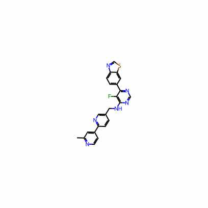 Cc1cc(-c2ccc(CNc3ncnc(-c4ccc5ncsc5c4)c3F)cn2)ccn1